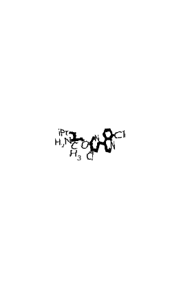 CC(C)C[C@](C)(N)COc1cnc(-c2ccnc3c(Cl)cccc23)cc1Cl